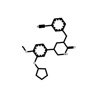 COc1ccc(C2CNC(=O)C(Cc3cccc(C#N)c3)C2)cc1OC1CCCC1